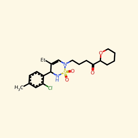 CCC1=CN(CCCC(=O)C2CCCCO2)S(=O)(=O)NC1c1ccc(C)cc1Cl